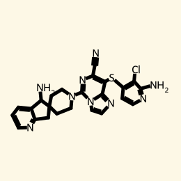 N#Cc1nc(N2CCC3(CC2)Cc2ncccc2C3N)n2ccnc2c1Sc1ccnc(N)c1Cl